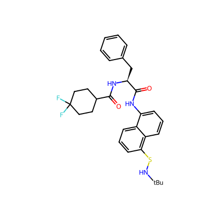 CC(C)(C)NSc1cccc2c(NC(=O)[C@H](Cc3ccccc3)NC(=O)C3CCC(F)(F)CC3)cccc12